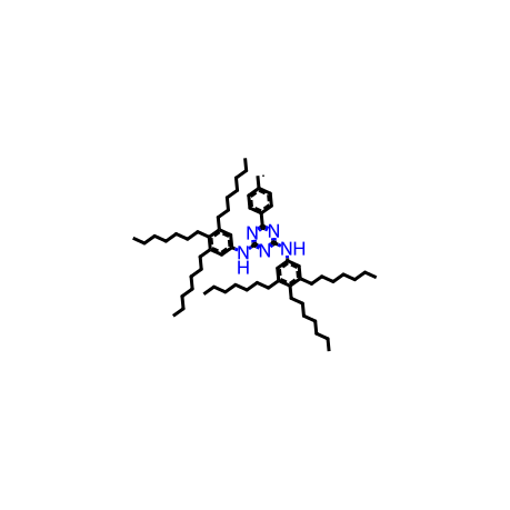 [CH2]c1ccc(-c2nc(Nc3cc(CCCCCCC)c(CCCCCCC)c(CCCCCCC)c3)nc(Nc3cc(CCCCCCC)c(CCCCCCC)c(CCCCCCC)c3)n2)cc1